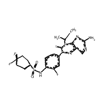 CC(C)n1c(=O)c(-c2ccc(NS(=O)(=O)C3CCC(F)(F)CC3)c(F)c2)nc2cnc(N)nc21